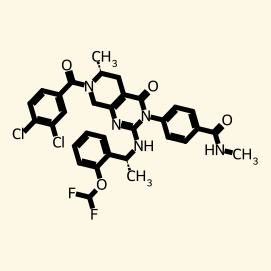 CNC(=O)c1ccc(-n2c(N[C@H](C)c3ccccc3OC(F)F)nc3c(c2=O)C[C@@H](C)N(C(=O)c2ccc(Cl)c(Cl)c2)C3)cc1